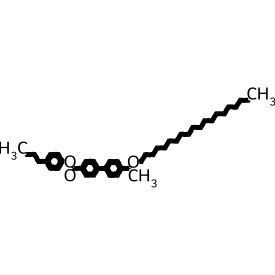 CCCCCCCCCCCCCCCCCCCCOC(C)c1ccc(-c2ccc(C(=O)Oc3ccc(CCCC)cc3)cc2)cc1